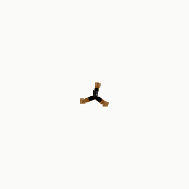 Br[SiH](Br)Br